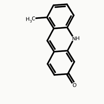 Cc1cccc2[nH]c3cc(=O)ccc-3cc12